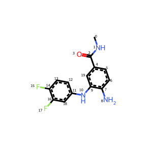 CNC(=O)c1ccc(N)c(Nc2ccc(F)c(F)c2)c1